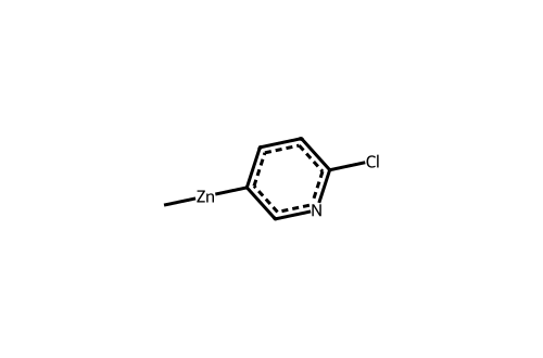 [CH3][Zn][c]1ccc(Cl)nc1